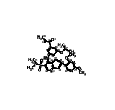 COC(=O)c1cc(Nc2c(S(=O)(=O)N(C)C)cnc3cc(-c4cnc(OC)nc4OC)ccc23)cc(OC(C)C)c1